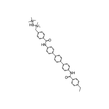 CCc1ccc(C(=O)Nc2ccc(-c3ccc(-c4ccc(NC(=O)c5ccc(C[N+](C)(C)B[N+](C)(C)C)cc5)cc4)cc3)cc2)cc1